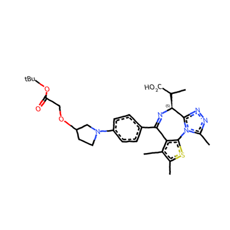 Cc1sc2c(c1C)C(c1ccc(N3CCC(OCC(=O)OC(C)(C)C)C3)cc1)=N[C@@H](C(C)C(=O)O)c1nnc(C)n1-2